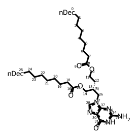 CCCCCCCCCCCCCCCCCC(=O)OCC[C@@H](COC(=O)CCCCCCCCCCCCCCCCC)Cn1cnc2c(=O)[nH]c(N)nc21